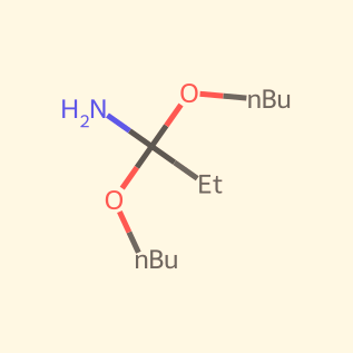 CCCCOC(N)(CC)OCCCC